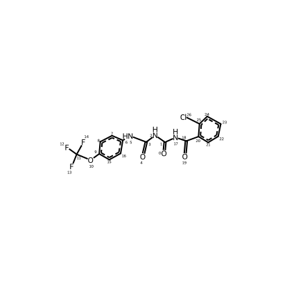 O=C(NC(=O)Nc1ccc(OC(F)(F)F)cc1)NC(=O)c1ccccc1Cl